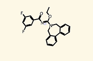 CCO/C(=N\C(=O)c1cc(F)cc(F)c1)N1Cc2ccccc2-c2ccccc2C1